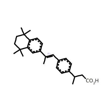 C/C(=C\c1ccc(C(C)CC(=O)O)cc1)c1ccc2c(c1)C(C)(C)CCC2(C)C